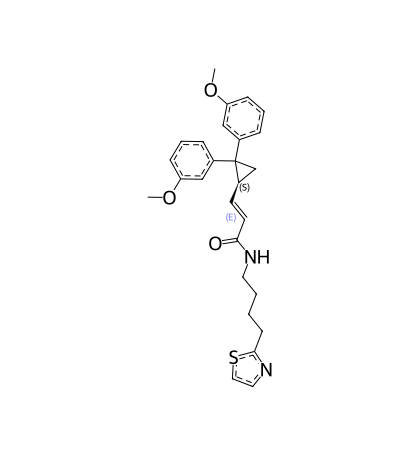 COc1cccc(C2(c3cccc(OC)c3)C[C@H]2/C=C/C(=O)NCCCCc2nccs2)c1